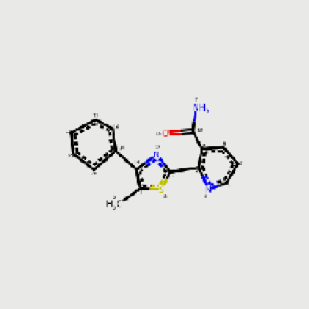 Cc1sc(-c2ncccc2C(N)=O)nc1-c1ccccc1